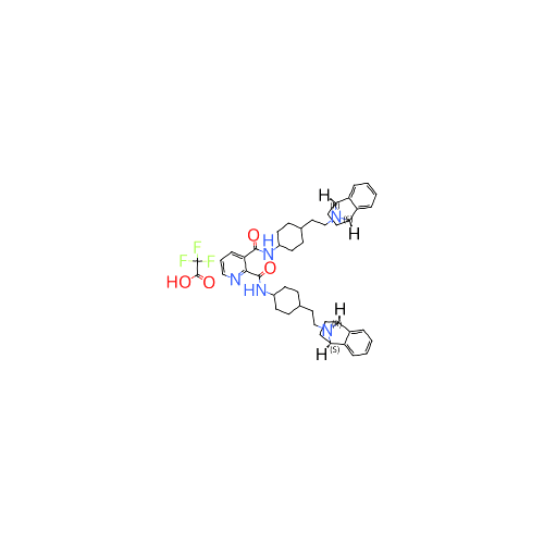 O=C(NC1CCC(CCN2[C@@H]3CC[C@H]2c2ccccc23)CC1)c1cccnc1C(=O)NC1CCC(CCN2[C@@H]3CC[C@H]2c2ccccc23)CC1.O=C(O)C(F)(F)F